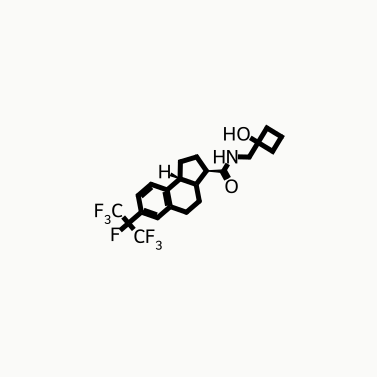 O=C(NCC1(O)CCC1)[C@@H]1CC[C@H]2c3ccc(C(F)(C(F)(F)F)C(F)(F)F)cc3CCC12